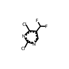 FC(F)c1cnc(Cl)nc1Cl